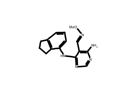 CON=Cc1c(N)ncnc1Nc1cccc2c1CCC2